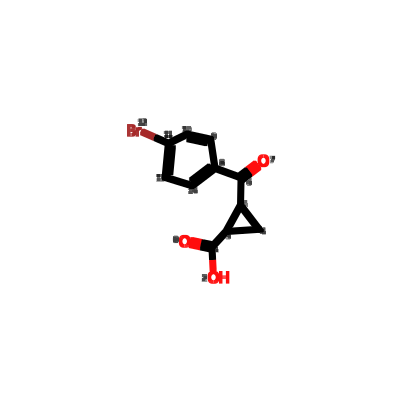 O=C(O)C1CC1C(=O)c1ccc(Br)cc1